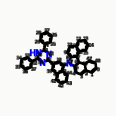 C1=CC2=CC=C3C(c4c(ccc5ccccc45)N3c3cc(C4=NC(c5ccccc5)NC(c5ccccc5)=N4)cc4ccccc34)C2C=C1